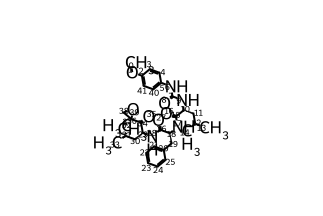 COc1ccc(NC(=O)N[C@@H](CC(C)C)C(=O)N[C@@H](Cc2ccccc2)C(=O)N[C@@H](CC(C)C)C(=O)[C@@]2(C)CO2)cc1